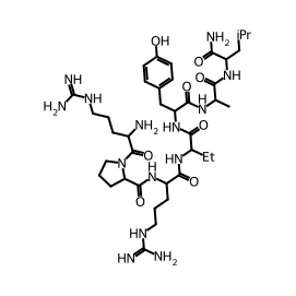 CCC(NC(=O)C(CCCNC(=N)N)NC(=O)C1CCCN1C(=O)C(N)CCCNC(=N)N)C(=O)NC(Cc1ccc(O)cc1)C(=O)NC(C)C(=O)NC(CC(C)C)C(N)=O